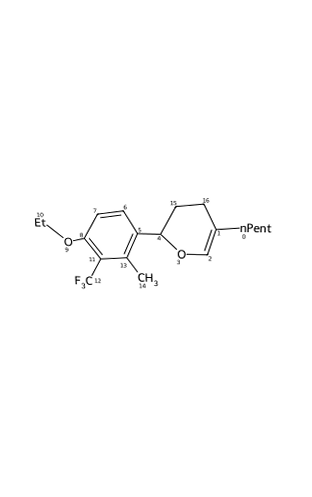 CCCCCC1=COC(c2ccc(OCC)c(C(F)(F)F)c2C)CC1